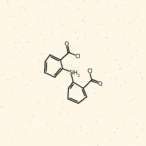 O=C(Cl)c1ccccc1[SiH2]c1ccccc1C(=O)Cl